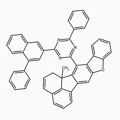 CC12CC=Cc3cccc(c31)-c1cc3oc4ccccc4c3c(-c3nc(-c4ccccc4)nc(-c4cc(-c5ccccc5)c5ccccc5c4)n3)c12